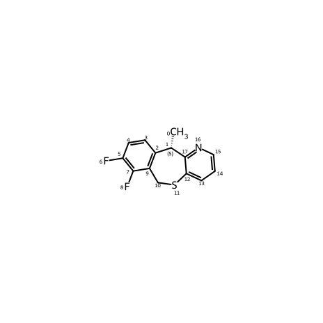 C[C@H]1c2ccc(F)c(F)c2CSc2cccnc21